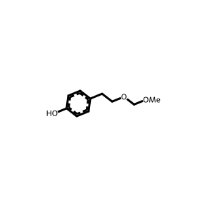 COCOCCc1ccc(O)cc1